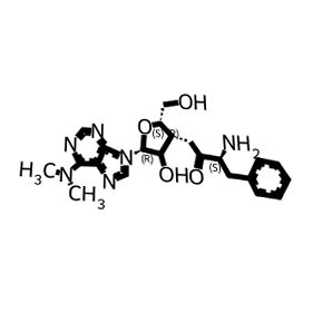 CN(C)c1ncnc2c1ncn2[C@@H]1O[C@H](CO)[C@H](CC(=O)[C@@H](N)Cc2ccccc2)C1O